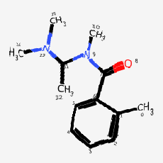 Cc1ccccc1C(=O)N(C)C(C)N(C)C